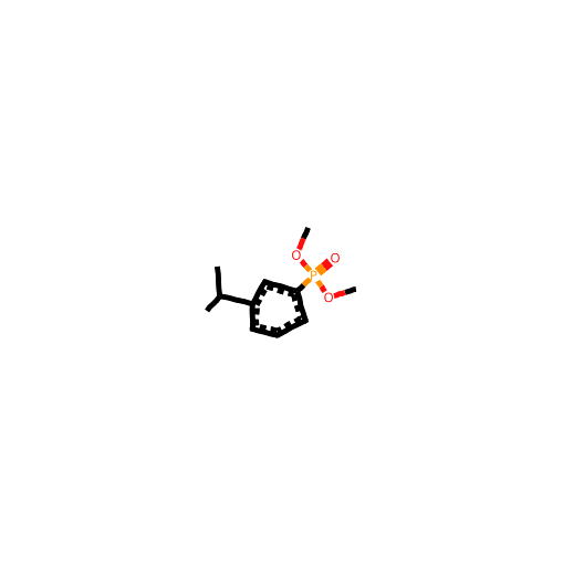 COP(=O)(OC)c1cccc(C(C)C)c1